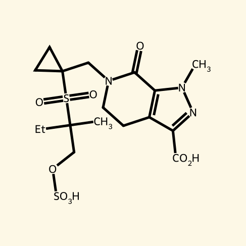 CCC(C)(COS(=O)(=O)O)S(=O)(=O)C1(CN2CCc3c(C(=O)O)nn(C)c3C2=O)CC1